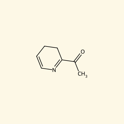 CC(=O)C1=NC=CCC1